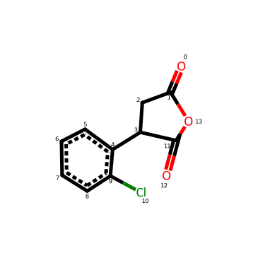 O=C1CC(c2ccccc2Cl)C(=O)O1